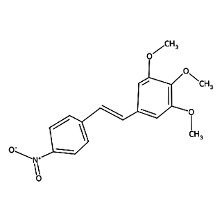 COc1cc(C=Cc2ccc([N+](=O)[O-])cc2)cc(OC)c1OC